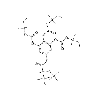 CCC(C)(C)OC(=O)Oc1cc(OC(=O)C(C)(CC(C)(C)C)C(C)(C)C)cc(OC(=O)OC(C)(C)CC)c1OC(=O)OC(C)(C)CC